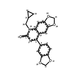 O=c1nc(-c2ccc3c(c2)OCO3)c2cc3c(cc2n1CC1CC1)OCO3